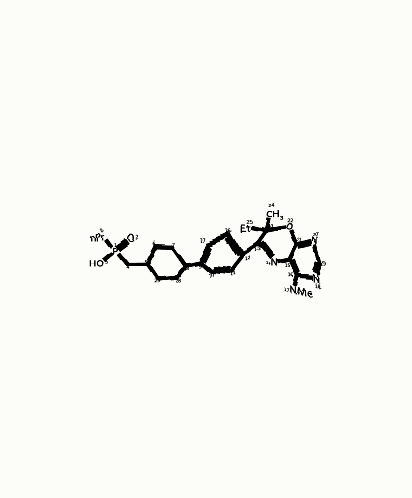 CCCP(=O)(O)CC1CCC(c2ccc(C3=Nc4c(NC)ncnc4OC3(C)CC)cc2)CC1